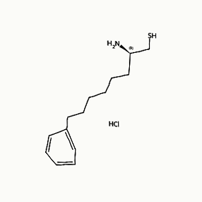 Cl.N[C@@H](CS)CCCCCCc1ccccc1